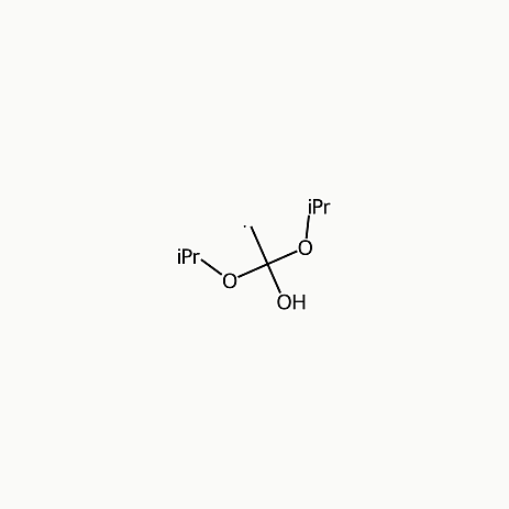 [CH2]C(O)(OC(C)C)OC(C)C